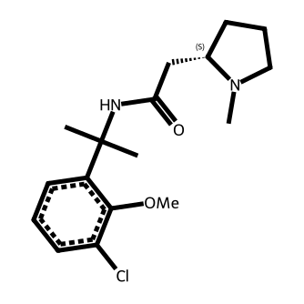 COc1c(Cl)cccc1C(C)(C)NC(=O)C[C@@H]1CCCN1C